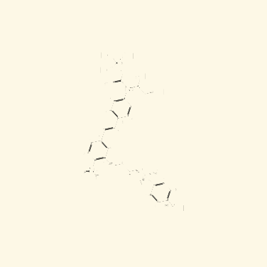 CCC(C)N(C(=O)OC(C)(C)C)c1ccc(/C=C/c2ccc([N+](=O)[O-])c(OCCOS(=O)(=O)c3ccc(C)cc3)c2)cc1